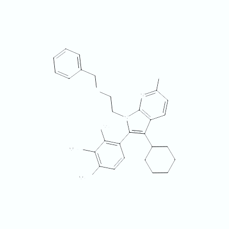 CCOC(=O)c1ccc2c(C3CCCCC3)c(-c3ccc(OC)c(OC)c3OC)n(CCOCc3ccccc3)c2n1